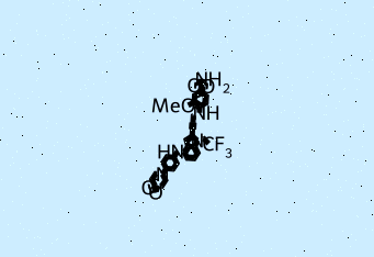 COc1cc(S(N)(=O)=O)ccc1NCC#Cc1cc2c(NC3CCC(N4CCS(=O)(=O)CC4)CC3)cccc2n1CC(F)(F)F